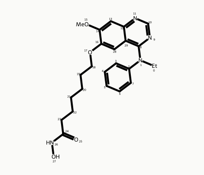 CCN(c1ccccc1)c1ncnc2cc(OC)c(OCCCCCCC(=O)NO)cc12